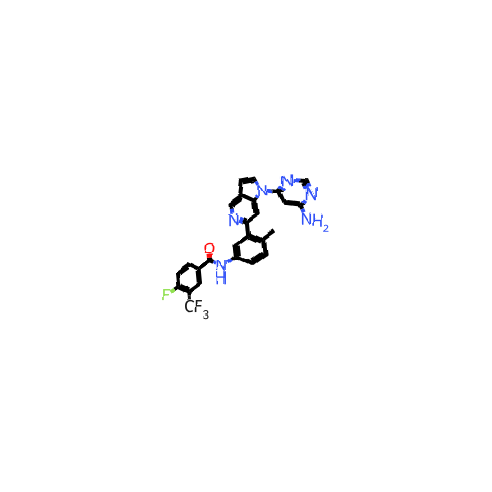 Cc1ccc(NC(=O)c2ccc(F)c(C(F)(F)F)c2)cc1-c1cc2c(ccn2-c2cc(N)ncn2)cn1